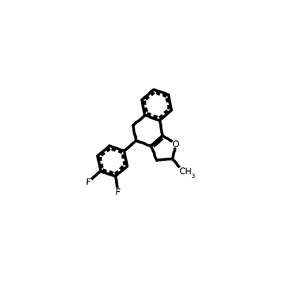 CC1CC2=C(O1)c1ccccc1CC2c1ccc(F)c(F)c1